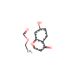 CCOC=O.O=c1ccoc2cc(O)ccc12